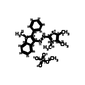 COS(=O)(=O)[O-].Cc1sc(N=Nc2c(-c3ccccc3)n(C)c3ccccc23)[n+](C)c1C